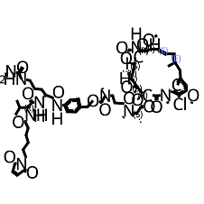 COc1cc2cc(c1Cl)N(C)C(=O)C[C@@H](OC(=O)[C@H](C)N(C)C(=O)CCN(C)C(=O)OCc1ccc(NC(=O)C(CCCNC(N)=O)NC(=O)[C@H](NC(=O)CCCCCN3C(=O)C=CC3=O)C(C)C)cc1)[C@]1(C)O[C@H]1[C@H](C)[C@@H]1C[C@](O)(NC(=O)O1)[C@H](OC)/C=C/C=C(\C)C2